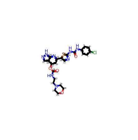 O=C(Nc1ccc(Cl)cc1)Nc1ncc(-c2cc(OC(=O)NCCN3CCOCC3)c3cn[nH]c3n2)s1